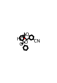 CC1(C)Oc2ccc(C#N)cc2[C@@H](OP(=O)(c2ccccc2)c2ccccc2)[C@@H]1O